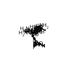 CCN(CC)CCNC(=O)c1c(C)[nH]c(/C=C2\C(=O)N(CC(=O)OCc3ccc(-c4ccc(C[C@@H](NC(=O)C(CCN)NC(=O)[C@H](CCNC(=O)C[C@@H](C)O)NC(=O)CNC(=O)[C@@H](NC(=O)[C@@H](CCN)NC(=O)CCCCCC(C)C)[C@@H](C)O)C(=O)N[C@@H](CC(C)C)C(=O)N[C@@H](CCN)C(=O)NCC(N)=O)cc4)cc3)c3ccc(F)cc32)c1C